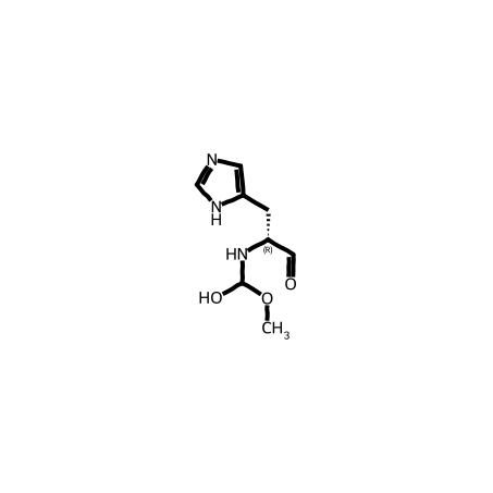 COC(O)N[C@@H](C=O)Cc1cnc[nH]1